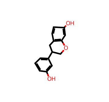 Oc1cccc(C2COc3cc(O)ccc3C2)c1